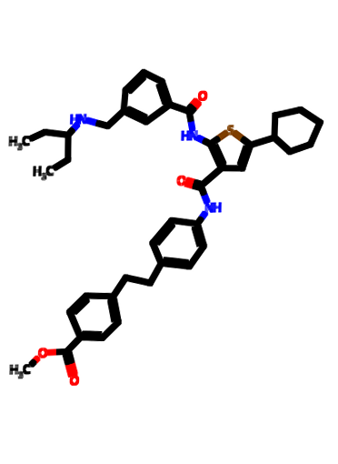 CCC(CC)NCc1cccc(C(=O)Nc2sc(C3CCCCC3)cc2C(=O)Nc2ccc(CCc3ccc(C(=O)OC)cc3)cc2)c1